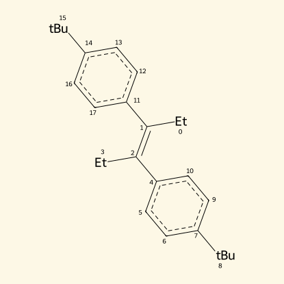 CC/C(=C(/CC)c1ccc(C(C)(C)C)cc1)c1ccc(C(C)(C)C)cc1